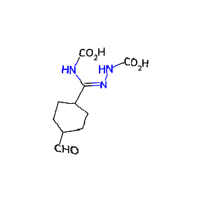 O=CC1CCC(C(=NNC(=O)O)NC(=O)O)CC1